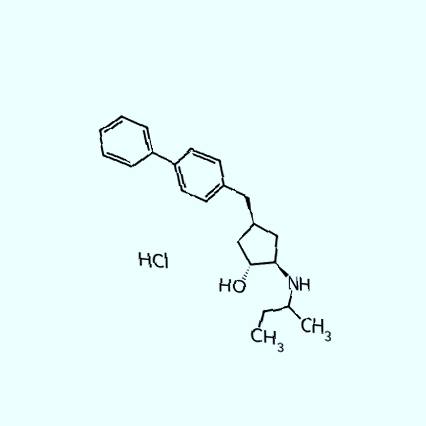 CCC(C)N[C@@H]1C[C@H](Cc2ccc(-c3ccccc3)cc2)C[C@H]1O.Cl